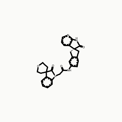 O=C(CN1C(=O)C2(CCOCC2)c2ccccc21)Nc1ccc2c(c1)C[C@@]1(C2)C(=O)Nc2ncccc21